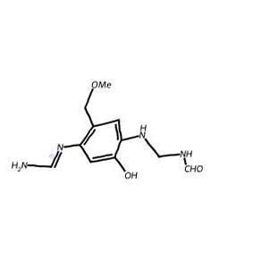 COCc1cc(NCNC=O)c(O)cc1/N=C/N